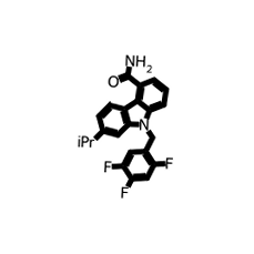 CC(C)c1c[c]c2c3c(C(N)=O)cccc3n(Cc3cc(F)c(F)cc3F)c2c1